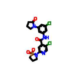 O=C(Nc1cc(Cl)cc(N2CCCC2=O)c1)c1cc(N2CCCS2(=O)=O)ncc1Cl